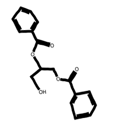 O=C(OCC(CO)OC(=O)c1ccccc1)c1ccccc1